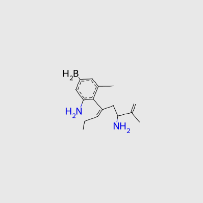 Bc1cc(C)c(/C(=C\CC)CC(N)C(=C)C)c(N)c1